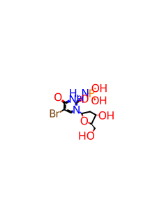 NP(O)O.O=c1[nH]c(=O)n([C@H]2C[C@H](O)[C@@H](CO)O2)cc1Br